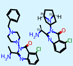 CC(N)c1nc2cccc(Cl)c2c(=O)n1N1CCN(Cc2ccccc2)CC1.C[C@H](N)c1nc2cccc(Cl)c2c(=O)n1C1C[C@H]2CC[C@@H](C1)N2C